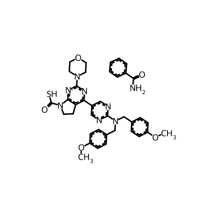 COc1ccc(CN(Cc2ccc(OC)cc2)c2ncc(-c3nc(N4CCOCC4)nc4c3CCN4C(=O)S)cn2)cc1.NC(=O)c1ccccc1